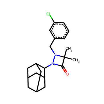 CC1(C)C(=O)N(C2C3CC4CC(C3)CC2C4)N1Cc1cccc(Cl)c1